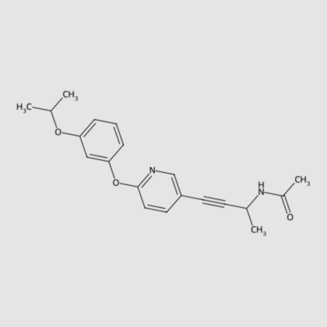 CC(=O)NC(C)C#Cc1ccc(Oc2cccc(OC(C)C)c2)nc1